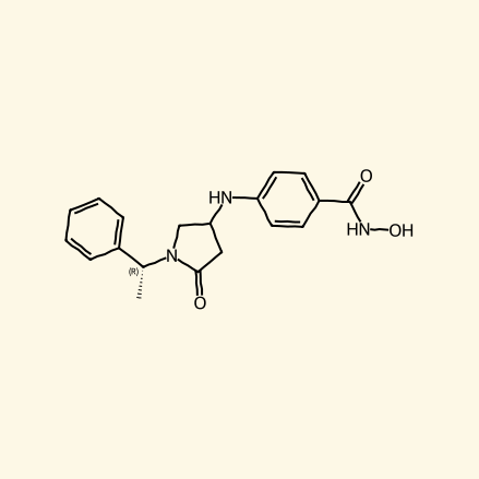 C[C@H](c1ccccc1)N1CC(Nc2ccc(C(=O)NO)cc2)CC1=O